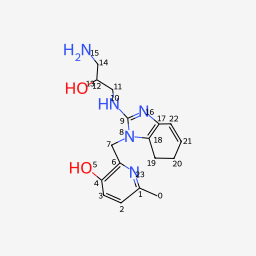 Cc1ccc(O)c(Cn2c(NCC(O)CN)nc3c2CCC=C3)n1